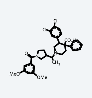 COc1cc(OC)cc(C(=O)N2CCC(C(C)N3CCC(C(=O)O)(c4ccccc4)C(c4ccc(Cl)c(Cl)c4)C3)C2)c1